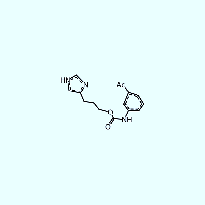 CC(=O)c1cccc(NC(=O)OCCCc2c[nH]cn2)c1